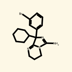 NC1=NC(c2cccc(Br)c2)(C2CCCCC2)C2=NCCCN12